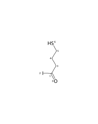 O=C(I)CCCS